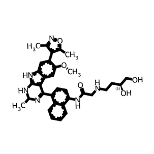 COc1cc2c3c([nH]c2cc1-c1c(C)noc1C)NC(C)N=C3c1ccc(NC(=O)CNCC[C@H](O)CO)c2ccccc12